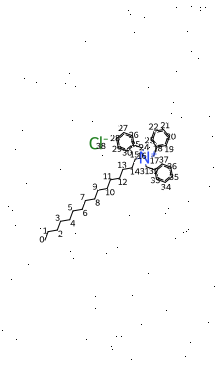 CCCCCCCCCCCCCCCC[N+](Cc1ccccc1)(Cc1ccccc1)Cc1ccccc1.[Cl-]